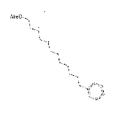 [CH2]OCCCCCCCCCCCCc1ccccc1